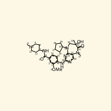 COc1cc(C(=O)NC2CCN(C)CC2)ccc1Nc1ncc2c(n1)N(C1CCCC1)CC(C)(O)C(=O)N2C